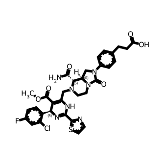 COC(=O)C1=C(CN2CCN3C(=O)N(c4ccc(CCC(=O)O)cc4)C[C@@H]3[C@H]2C(N)=O)NC(c2nccs2)=N[C@H]1c1ccc(F)cc1Cl